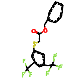 O=C(CSc1cc(C(F)(F)F)cc(C(F)(F)F)c1)OCc1ccccc1